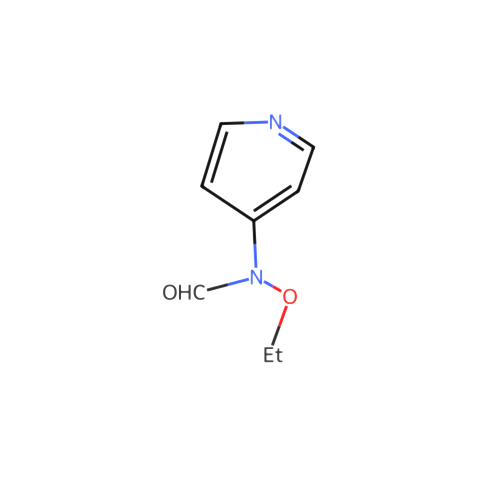 CCON(C=O)c1ccncc1